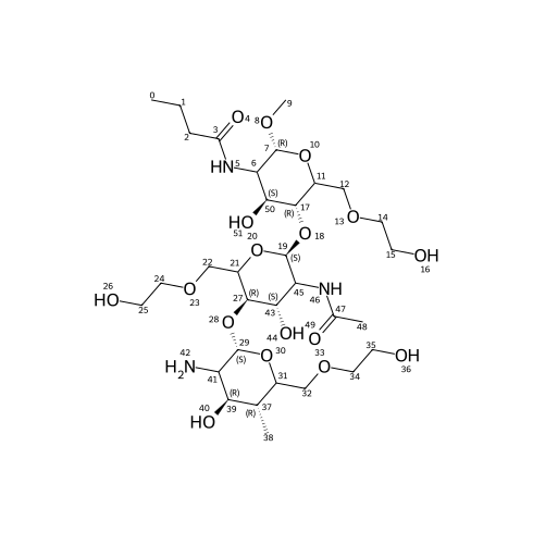 CCCC(=O)NC1[C@H](OC)OC(COCCO)[C@H](O[C@@H]2OC(COCCO)[C@H](O[C@@H]3OC(COCCO)[C@H](C)[C@@H](O)C3N)[C@@H](O)C2NC(C)=O)[C@H]1O